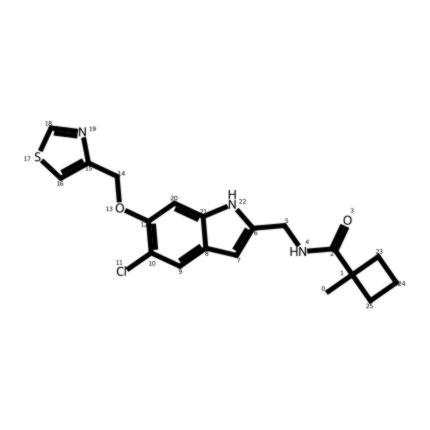 CC1(C(=O)NCc2cc3cc(Cl)c(OCc4cscn4)cc3[nH]2)CCC1